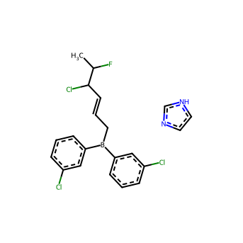 CC(F)C(Cl)C=CCB(c1cccc(Cl)c1)c1cccc(Cl)c1.c1c[nH]cn1